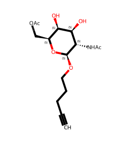 C#CCCCO[C@H]1O[C@@H](COC(C)=O)[C@@H](O)[C@@H](O)[C@@H]1NC(C)=O